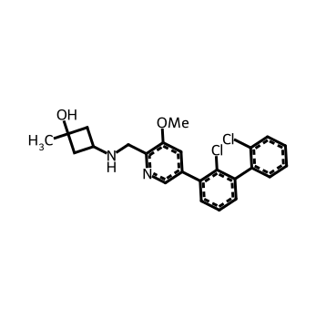 COc1cc(-c2cccc(-c3ccccc3Cl)c2Cl)cnc1CNC1CC(C)(O)C1